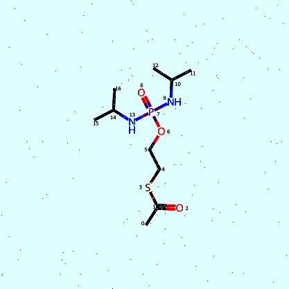 CC(=O)SCCOP(=O)(NC(C)C)NC(C)C